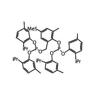 CSc1cc(C)c(OP(Oc2cc(C)ccc2C(C)C)Oc2cc(C)ccc2C(C)C)c(COP(Oc2cc(C)ccc2C(C)C)Oc2cc(C)ccc2C(C)C)c1